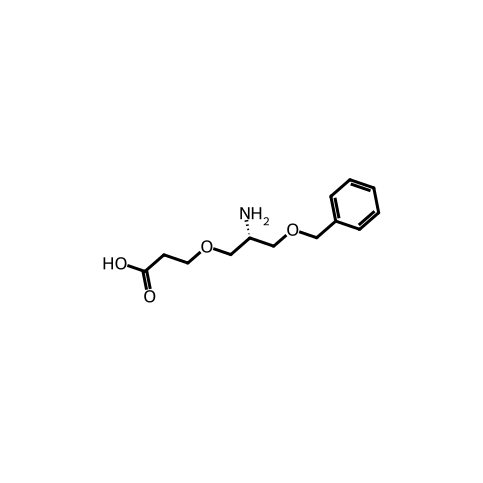 N[C@@H](COCCC(=O)O)COCc1ccccc1